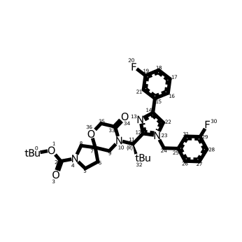 CC(C)(C)OC(=O)N1CCC2(C1)CN([C@@H](c1nc(-c3cccc(F)c3)cn1Cc1cccc(F)c1)C(C)(C)C)C(=O)CO2